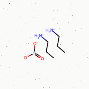 CCC[NH3+].CCC[NH3+].[O]=[Ti]([O-])[O-]